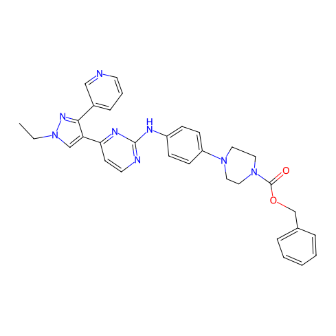 CCn1cc(-c2ccnc(Nc3ccc(N4CCN(C(=O)OCc5ccccc5)CC4)cc3)n2)c(-c2cccnc2)n1